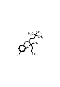 CCCC(C)(C)N(CCC(C)(C)C)Cc1ccc(Cl)cc1